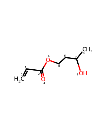 C=CC(=O)OCCC(C)O